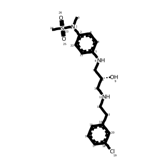 CN(c1ccc(NC[C@H](O)CNCCc2cccc(Cl)c2)cc1)S(C)(=O)=O